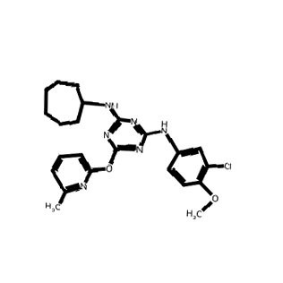 COc1ccc(Nc2nc(NC3CCCCCC3)nc(Oc3cccc(C)n3)n2)cc1Cl